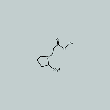 CC(C)(C)OC(=O)CON1CCCC1C(=O)O